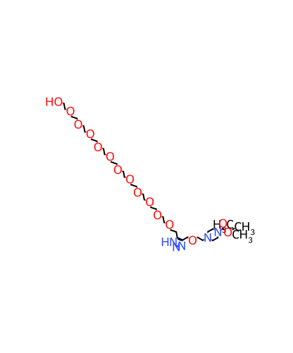 CC(C)(C)OC(=O)N1CCN(CCOCc2nn[nH]c2CCOCCOCCOCCOCCOCCOCCOCCOCCOCCOCCOCCO)CC1